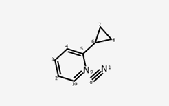 C#N.c1ccc(C2CC2)nc1